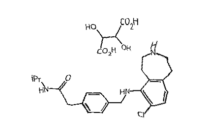 CC(C)NC(=O)Cc1ccc(CNc2c(Cl)ccc3c2CCNCC3)cc1.O=C(O)C(O)C(O)C(=O)O